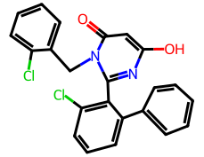 O=c1cc(O)nc(-c2c(Cl)cccc2-c2ccccc2)n1Cc1ccccc1Cl